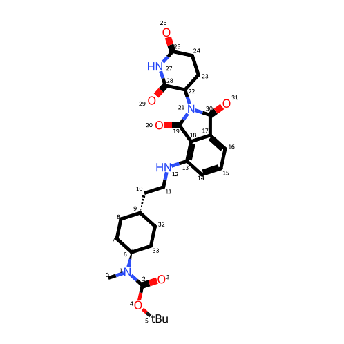 CN(C(=O)OC(C)(C)C)[C@H]1CC[C@H](CCNc2cccc3c2C(=O)N(C2CCC(=O)NC2=O)C3=O)CC1